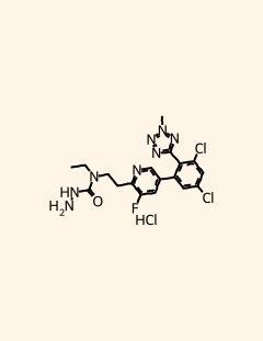 CCN(CCc1ncc(-c2cc(Cl)cc(Cl)c2-c2nnn(C)n2)cc1F)C(=O)NN.Cl